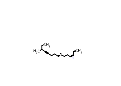 C=C/C=C\CCN=CCCC#CC(C)CC